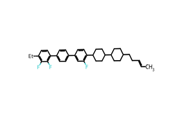 C/C=C/CCC1CCC(C2CCC(c3ccc(-c4ccc(-c5ccc(CC)c(F)c5F)cc4)cc3F)CC2)CC1